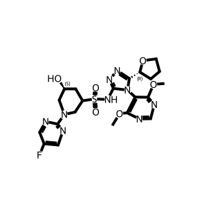 COc1ncnc(OC)c1-n1c(NS(=O)(=O)C2C[C@H](O)CN(c3ncc(F)cn3)C2)nnc1[C@H]1CCCO1